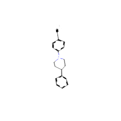 C#Cc1ccc(N2CCC(c3ccccc3)CC2)cc1